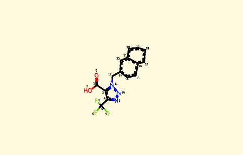 O=C(O)c1c(C(F)(F)F)nnn1Cc1ccc2ccccc2c1